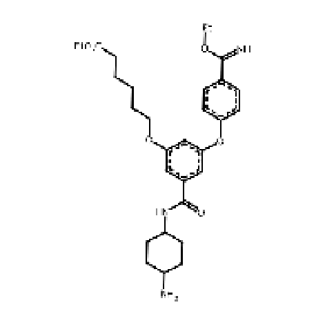 CCOC(=N)c1ccc(Oc2cc(OCCCCCC(=O)OCC)cc(C(=O)NC3CCC(N)CC3)c2)cc1